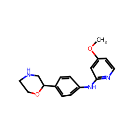 COc1ccnc(Nc2ccc(C3CNCCO3)cc2)c1